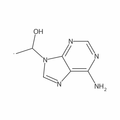 [CH2]C(O)n1cnc2c(N)ncnc21